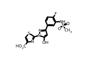 CS(=O)(=O)Nc1cc(-c2cc(O)n(-c3nc(C(=O)O)cs3)n2)ccc1F